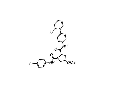 CO[C@@H]1C[C@H](C(=O)Nc2ccc(-n3ccccc3=O)cc2)N(C(=O)Nc2ccc(Cl)cc2)C1